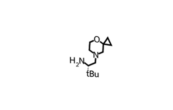 CC(C)(C)[C@H](N)CN1CCOC2(CC2)C1